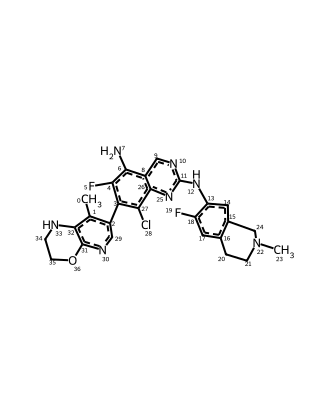 Cc1c(-c2c(F)c(N)c3cnc(Nc4cc5c(cc4F)CCN(C)C5)nc3c2Cl)cnc2c1NCCO2